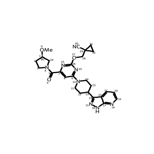 CO[C@@H]1CCN(C(=O)c2cc(N3CCC(c4n[nH]c5ncccc45)CC3)nc(OCC3(C#N)CC3)n2)C1